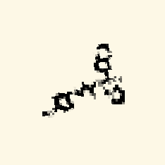 COc1ccc(OCCC(=O)N[C@@H](CN2CCCC2)[C@@H](O)c2ccc3c(c2)OCCO3)cc1